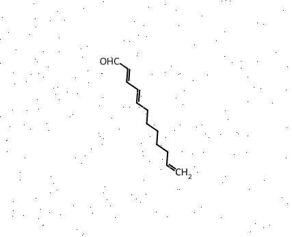 C=CCCCCC/C=C/C=C/C=O